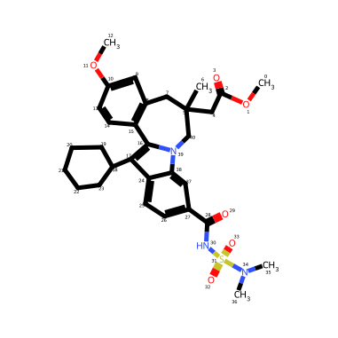 COC(=O)CC1(C)Cc2cc(OC)ccc2-c2c(C3CCCCC3)c3ccc(C(=O)NS(=O)(=O)N(C)C)cc3n2C1